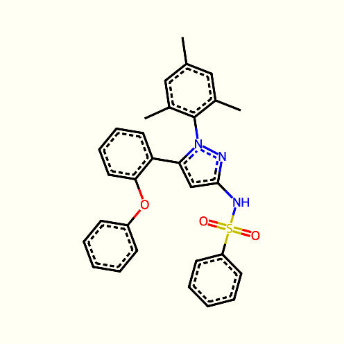 Cc1cc(C)c(-n2nc(NS(=O)(=O)c3ccccc3)cc2-c2ccccc2Oc2ccccc2)c(C)c1